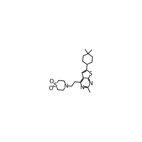 Cc1nc(CCN2CCS(=O)(=O)CC2)c2cc(C3CCC(C)(C)CC3)sc2n1